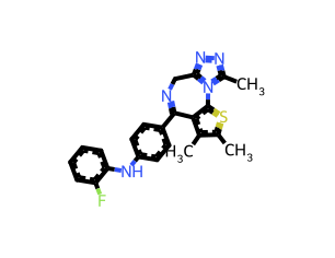 Cc1sc2c(c1C)C(c1ccc(Nc3ccccc3F)cc1)=NCc1nnc(C)n1-2